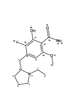 CCN1CCCC1Cc1cc(OC)c(C(N)=O)c(O)c1I